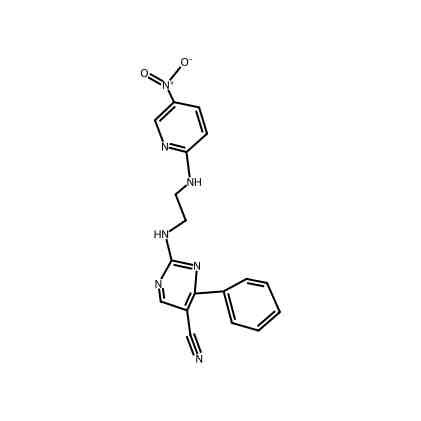 N#Cc1cnc(NCCNc2ccc([N+](=O)[O-])cn2)nc1-c1ccccc1